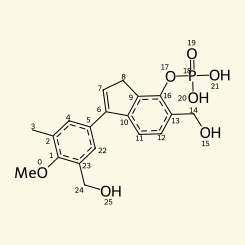 COc1c(C)cc(C2=CCc3c2ccc(CO)c3OP(=O)(O)O)cc1CO